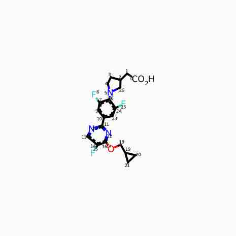 O=C(O)CC1CCN(c2c(F)cc(-c3ncc(F)c(OCC4CC4)n3)cc2F)C1